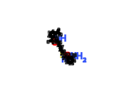 CC(C)c1cccc(C(C)C)c1NC(=O)CCCCCSc1nc2cccc(N)c2o1